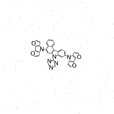 c1ccc2c(c1)c(-n1c3ccoc3c3occc31)cc1c2c2ccc(-n3c4ccoc4c4occc43)cc2n1-c1ncncn1